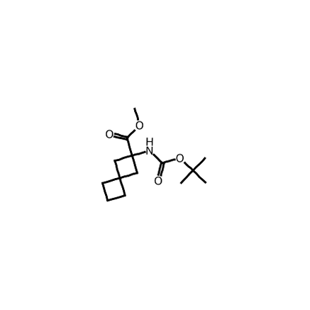 COC(=O)C1(NC(=O)OC(C)(C)C)CC2(CCC2)C1